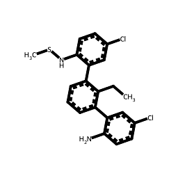 CCc1c(-c2cc(Cl)ccc2N)cccc1-c1cc(Cl)ccc1NSC